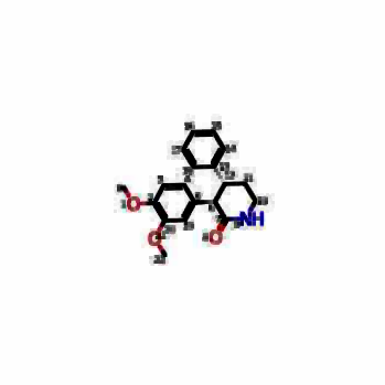 COc1ccc([C@@H]2C(=O)NCC[C@H]2c2ccccc2)cc1OC